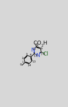 Cc1ccc(-c2nc(Cl)cc(C(=O)O)n2)cc1